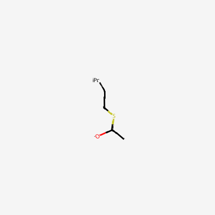 CC(C)CCSC(C)[O]